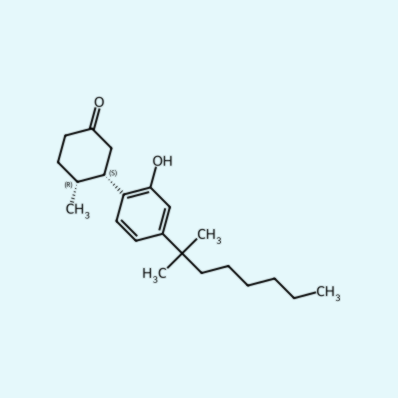 CCCCCCC(C)(C)c1ccc([C@H]2CC(=O)CC[C@H]2C)c(O)c1